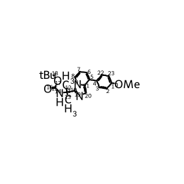 COc1ccc(-c2cccn3c(C(C)(C)NC(=O)OC(C)(C)C)ncc23)cc1